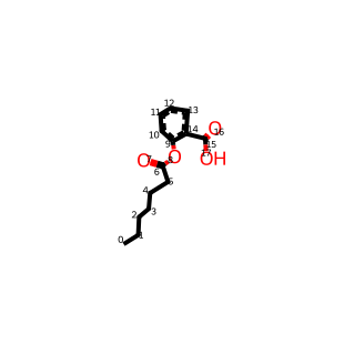 CCCCCCC(=O)Oc1ccccc1C(=O)O